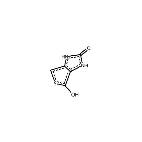 O=c1[nH]c2csc(O)c2[nH]1